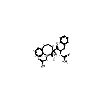 CC(=O)SC(Cc1ccccc1)C(=O)C1(N)CCCc2ccccc2N(CC(=O)O)C1=O